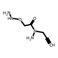 C#CCN(N)C(=O)CONN